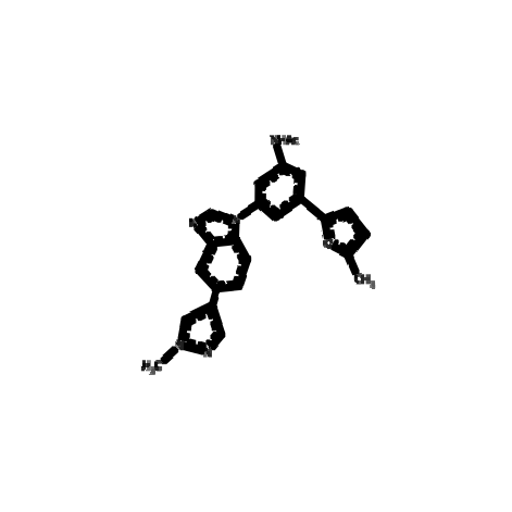 CC(=O)Nc1cc(-c2ccc(C)o2)cc(-n2cnc3cc(-c4cnn(C)c4)ccc32)c1